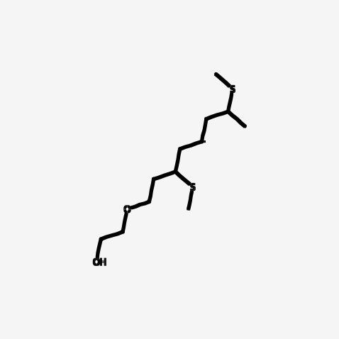 CSC(C)C[CH]CC(CCOCCO)SC